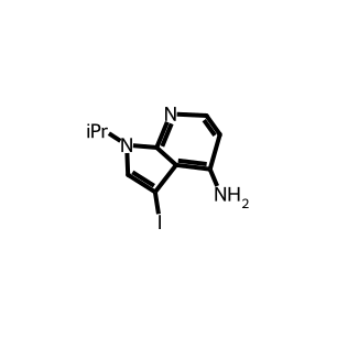 CC(C)n1cc(I)c2c(N)ccnc21